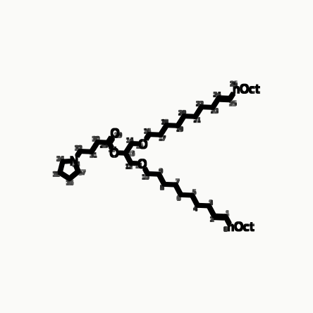 CCCCCCCCC=CCCCCCCCCOCC(COCCCCCCCCC=CCCCCCCCC)OC(=O)CCCN1CCCC1